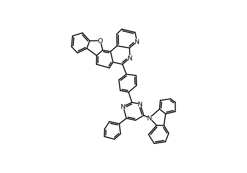 c1ccc(-c2cc(-n3c4ccccc4c4ccccc43)nc(-c3ccc(-c4nc5ncccc5c5c4ccc4c6ccccc6oc45)cc3)n2)cc1